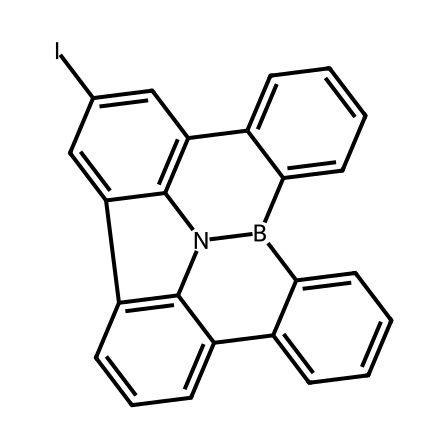 Ic1cc2c3c(c1)c1cccc4c1n3B(c1ccccc1-4)c1ccccc1-2